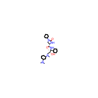 CN(C)c1cccc(N(C)C[C@@H](O)[C@@](C)(NC(=O)[C@@H]2CN(c3ccccc3)C(=O)N2)c2ccccc2)c1